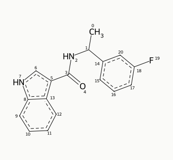 CC(NC(=O)c1c[nH]c2ccccc12)c1cccc(F)c1